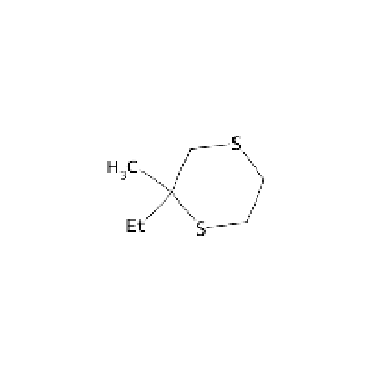 CCC1(C)CSCCS1